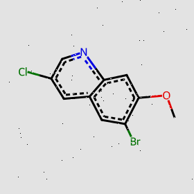 COc1cc2ncc(Cl)cc2cc1Br